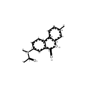 CC(=O)N(C)c1ccc2c(c1)c(=O)oc1cc(C)ccc12